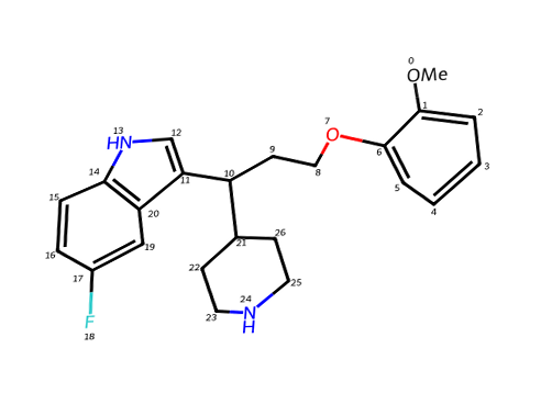 COc1ccccc1OCCC(c1c[nH]c2ccc(F)cc12)C1CCNCC1